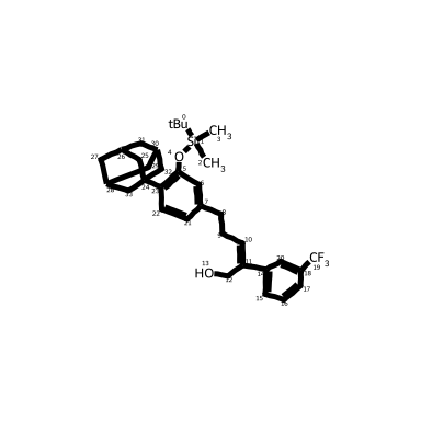 CC(C)(C)[Si](C)(C)Oc1cc(CC/C=C(\CO)c2cccc(C(F)(F)F)c2)ccc1C12CC3CC(CC(C3)C1)C2